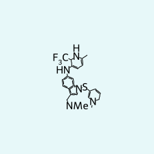 CNCc1cn(SC2=CN(C)CC=C2)c2cc(NC3=CC=C(C)NC3C(F)(F)F)ccc12